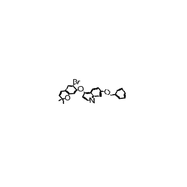 CC1(C)C=Cc2cc(Br)c(Oc3ccnc4cc(OCc5ccccc5)ccc34)cc2O1